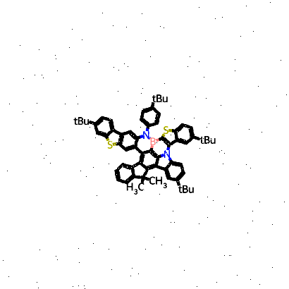 CC(C)(C)c1ccc(N2B3c4sc5ccc(C(C)(C)C)cc5c4-n4c5ccc(C(C)(C)C)cc5c5c6c(c(c3c54)-c3cc4sc5cc(C(C)(C)C)ccc5c4cc32)-c2ccccc2C6(C)C)cc1